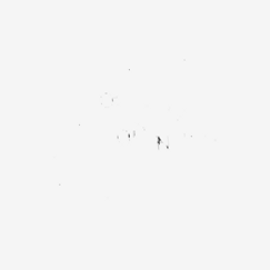 CC(OCCc1ccccc1)C(C(=O)N(C)C1CC1)c1ccccc1